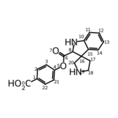 O=C(O)c1ccc(OC(=O)C2Nc3ccccc3C23CCNC3)cc1